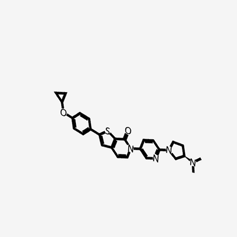 CN(C)[C@@H]1CCN(c2ccc(-n3ccc4cc(-c5ccc(OC6CC6)cc5)sc4c3=O)cn2)C1